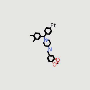 CCc1ccc(C(c2ccc(C)c(C)c2)N2CCC(N=Cc3ccc4c(c3)OCO4)CC2)cc1